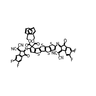 N#CC(C#N)=C1/C(=N/C2=Cc3sc4c(sc5c6sc(/N=C7/C(=O)c8cc(F)c(F)cc8C7=C(C#N)C#N)cc6sc45)c3C2(C(=O)OCc2ccccc2)C(=O)OCc2ccccc2)C(=O)c2cc(F)c(F)cc21